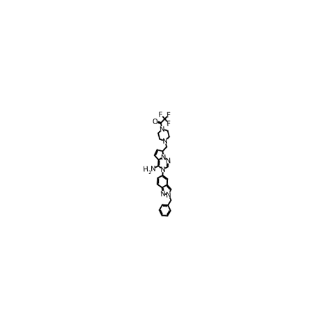 NC1=C2C=CC(CN3CCN(C(=O)C(F)(F)F)CC3)N2N=CN1c1ccc2nn(Cc3ccccc3)cc2c1